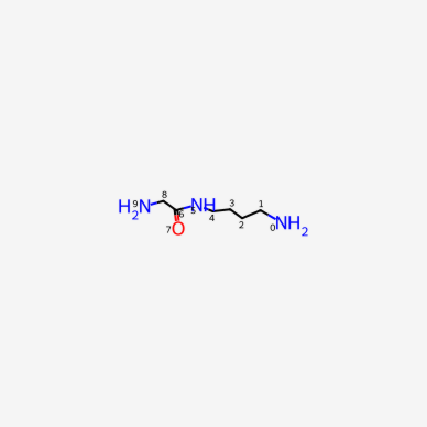 NCCCCNC(=O)CN